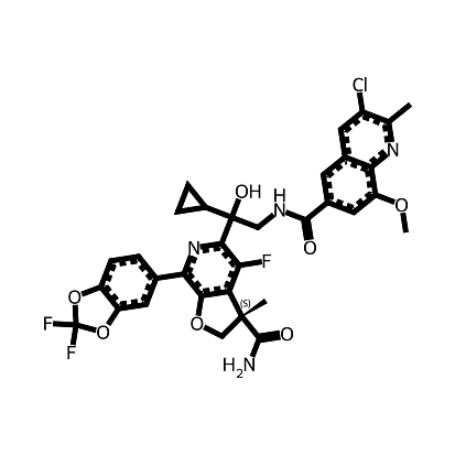 COc1cc(C(=O)NCC(O)(c2nc(-c3ccc4c(c3)OC(F)(F)O4)c3c(c2F)[C@](C)(C(N)=O)CO3)C2CC2)cc2cc(Cl)c(C)nc12